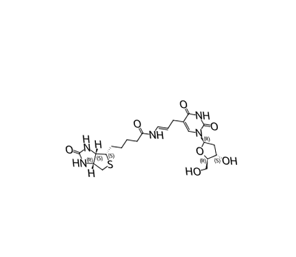 O=C(CCCC[C@@H]1SC[C@@H]2NC(=O)N[C@@H]21)NC=CCc1cn([C@H]2C[C@H](O)[C@@H](CO)O2)c(=O)[nH]c1=O